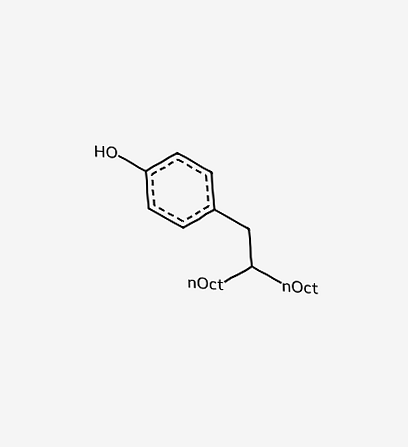 CCCCCCCCC(CCCCCCCC)Cc1ccc(O)cc1